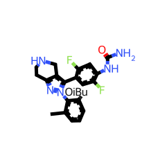 Cc1cccc(OCC(C)C)c1-n1nc2c(c1-c1cc(F)c(NC(N)=O)cc1F)CNCC2